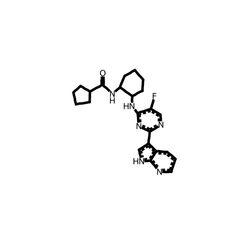 O=C(NC1CCCCC1Nc1nc(-c2c[nH]c3ncccc23)ncc1F)C1CCCC1